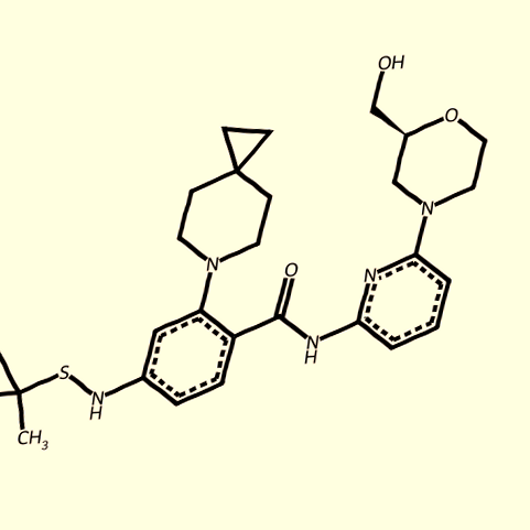 CC1(SNc2ccc(C(=O)Nc3cccc(N4CCO[C@H](CO)C4)n3)c(N3CCC4(CC3)CC4)c2)CC1